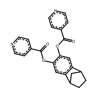 O=C(Oc1cc2c(cc1OC(=O)c1ccncc1)C1CCC2C1)c1ccncc1